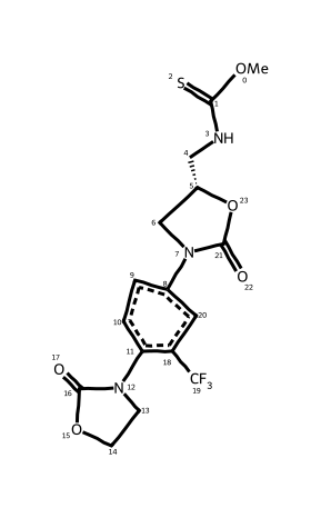 COC(=S)NC[C@H]1CN(c2ccc(N3CCOC3=O)c(C(F)(F)F)c2)C(=O)O1